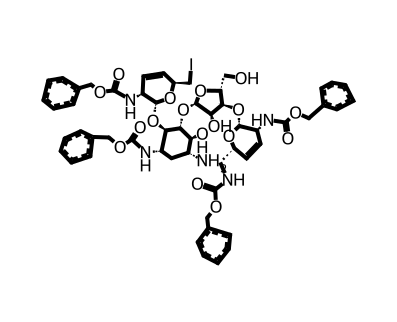 N[C@@H]1C[C@H](NC(=O)OCc2ccccc2)[C@@H](O[C@H]2O[C@H](CI)C=C[C@H]2NC(=O)OCc2ccccc2)[C@H](O[C@@H]2O[C@H](CO)[C@@H](O[C@H]3O[C@@H](CNC(=O)OCc4ccccc4)C=C[C@H]3NC(=O)OCc3ccccc3)[C@H]2O)[C@H]1O